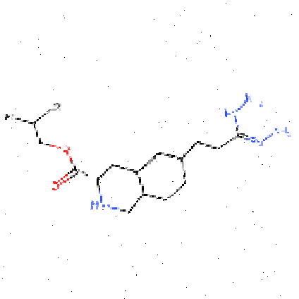 CCC(CC)COC(=O)[C@@H]1CC2CC(CC/C(=N/N)NN)CCC2CN1